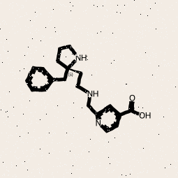 O=C(O)c1ccnc(CNCC[C@@]2(Cc3ccccc3)CCCN2)c1